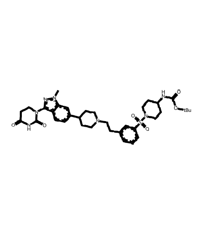 Cn1nc(N2CCC(=O)NC2=O)c2ccc(C3CCN(CCc4cccc(S(=O)(=O)N5CCC(NC(=O)OC(C)(C)C)CC5)c4)CC3)cc21